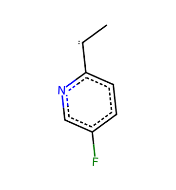 C[C]c1ccc(F)cn1